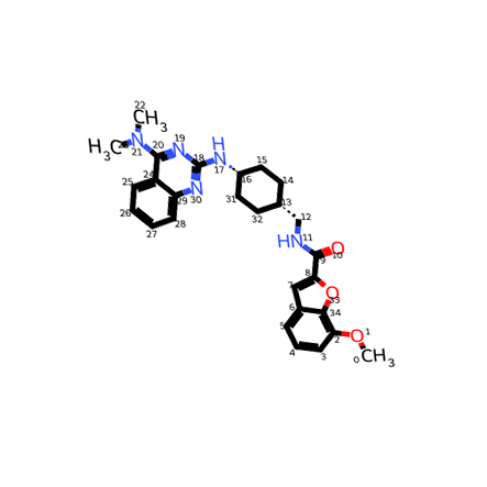 COc1cccc2cc(C(=O)NC[C@H]3CC[C@@H](Nc4nc(N(C)C)c5ccccc5n4)CC3)oc12